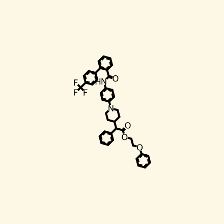 O=C(Nc1ccc(N2CCC(C(C(=O)OCCOc3ccccc3)c3ccccc3)CC2)cc1)c1ccccc1-c1ccc(C(F)(F)F)cc1